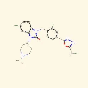 C[S+]([O-])N1CCC(n2c(=O)n(Cc3ccc(-c4nnc(C(F)F)o4)cc3F)c3ccc(Cl)cc32)CC1